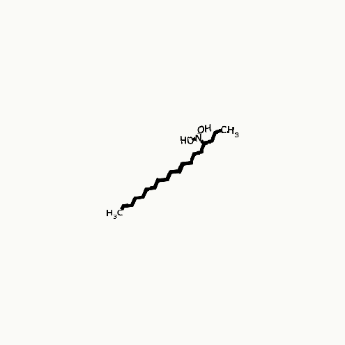 CCCCCCCCCCCCCCCC(CCC)N(O)O